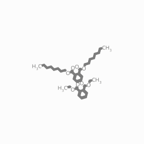 CCCCCCCCOC(=O)c1ccccc1C(=O)OCCCCCCCC.CCOC(=O)c1ccccc1C(=O)OCC